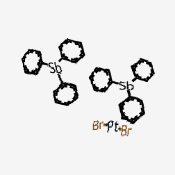 [Br][Pt][Br].c1cc[c]([Sb]([c]2ccccc2)[c]2ccccc2)cc1.c1cc[c]([Sb]([c]2ccccc2)[c]2ccccc2)cc1